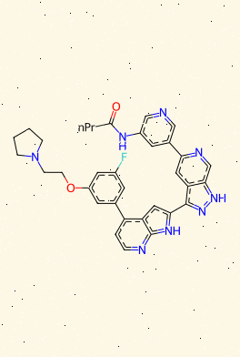 CCCC(=O)Nc1cncc(-c2cc3c(-c4cc5c(-c6cc(F)cc(OCCN7CCCC7)c6)ccnc5[nH]4)n[nH]c3cn2)c1